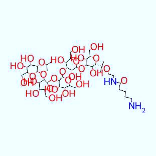 CC(C)OC1C(O)[C@H](O)C(CO)O[C@@H]1OC1C(O)[C@@H](O)C(CO)O[C@@H]1OC1C(O)[C@H](O)C(CO)O[C@@H]1OC1C(O)[C@@H](OC2C(O)[C@@H](C(C)(C)OCCNC(=O)CCCCN)O[C@H](CO)[C@H]2O)OC(CO)[C@H]1O